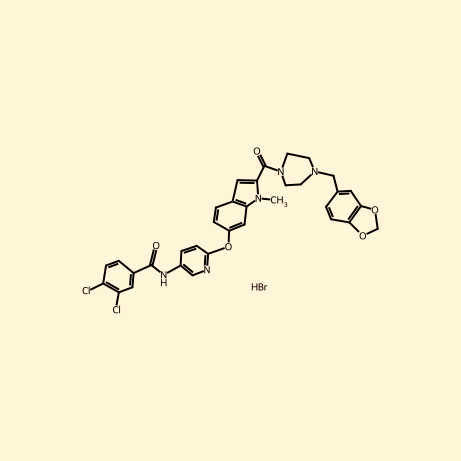 Br.Cn1c(C(=O)N2CCN(Cc3ccc4c(c3)OCO4)CC2)cc2ccc(Oc3ccc(NC(=O)c4ccc(Cl)c(Cl)c4)cn3)cc21